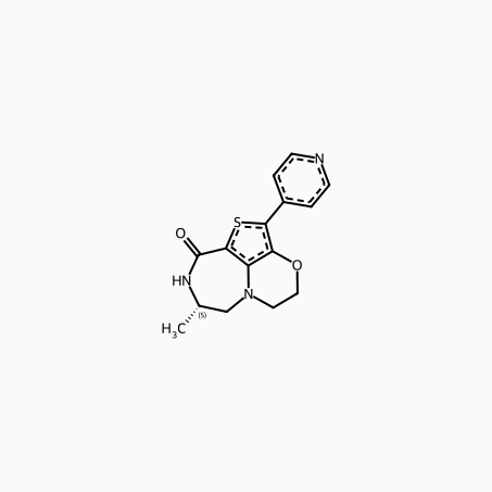 C[C@H]1CN2CCOc3c(-c4ccncc4)sc(c32)C(=O)N1